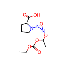 CCOC(=O)OC(C)On1on1N1CCC[C@H]1C(=O)O